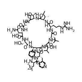 CC[C@H](C)[C@@H]1NC(=O)[C@@H](CCCNC(=N)N)NC(=O)[C@H](CC(C)C)NC(=O)[C@H]([C@H](O)C(C)C)NC(=O)[C@@H](NC(=O)[C@H](Cc2cccnc2)NC(=O)[C@H](N)C[Si](C)(C)C)[C@@H](c2ccccc2)NC(=O)[C@H](CO)NC(=O)[C@H]([C@H](O)C(N)=O)NC(=O)CNC(=O)[C@H]([C@H](C)O)NC1=O